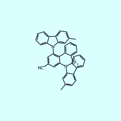 Cc1ccc2c3ccccc3n(-c3cc(C#N)cc(-n4c5ccccc5c5ccc(C)cc54)c3-c3ccccc3C(F)(F)F)c2c1